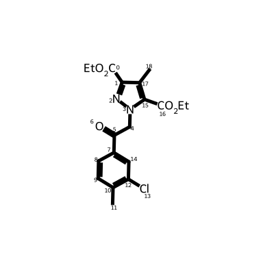 CCOC(=O)c1nn(CC(=O)c2ccc(C)c(Cl)c2)c(C(=O)OCC)c1C